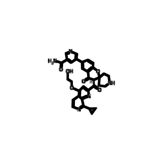 NC(=O)c1cncc(-c2ccc3c(c2)C(=O)[C@H](C(=O)c2cc(OCCO)c4ccnc(C5CC5)c4n2)C2(CCNCC2)O3)c1